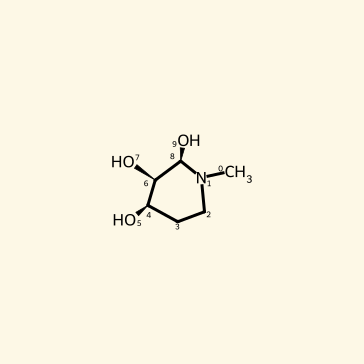 CN1CC[C@@H](O)[C@@H](O)[C@H]1O